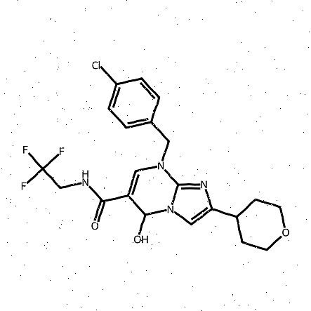 O=C(NCC(F)(F)F)C1=CN(Cc2ccc(Cl)cc2)c2nc(C3CCOCC3)cn2C1O